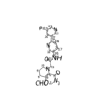 CN(C)C(=O)C1=C(C=O)CCCN1CC(=O)Nc1ccc(-c2cncc(F)c2)nc1